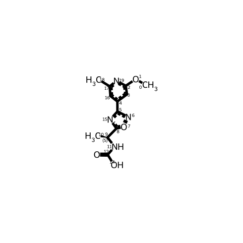 COc1cc(-c2noc([C@H](C)NC(=O)O)n2)cc(C)n1